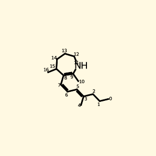 CCC/C(C)=C/C=C\C1=C(C)NCCCC1C